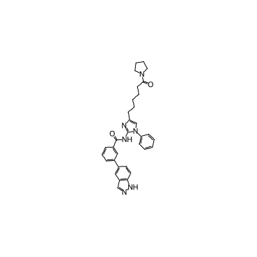 O=C(Nc1nc(CCCCCC(=O)N2CCCC2)cn1-c1ccccc1)c1cccc(-c2ccc3[nH]ncc3c2)c1